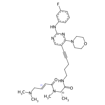 C[C@@H](C(=O)NCCCC#Cc1cnc(Nc2cccc(F)c2)nc1N1CCOCC1)N(C)C(=O)/C=C/CN(C)C